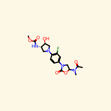 COC(=O)N[C@H]1CN(c2ccc(N3CC(N(C)C(C)=O)OC3=O)cc2F)C[C@@H]1O